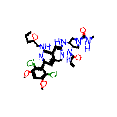 C=CC(=O)N[C@H]1CN(C(=O)NC)C[C@H]1Nc1cc2c(NCC3CCCO3)nc(-c3c(Cl)c(OC)cc(OC)c3Cl)cc2cn1